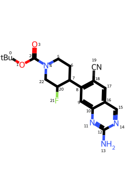 CC(C)(C)OC(=O)N1CCC(c2cc3nc(N)ncc3cc2C#N)C(F)C1